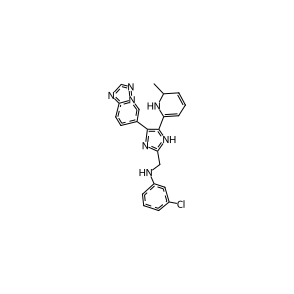 CC1C=CC=C(c2[nH]c(CNc3cccc(Cl)c3)nc2-c2ccc3ncnn3c2)N1